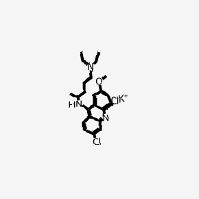 CCN(CC)CCCC(C)Nc1c2ccc(Cl)cc2nc2ccc(OC)cc12.[Cl-].[K+]